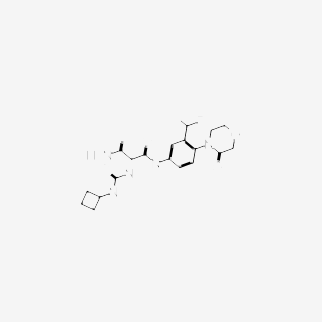 NC(=O)[C@@H](NC(=O)NC1CCC1)C(=O)Nc1ccc(N2CCOCC2=O)c(C(F)F)c1